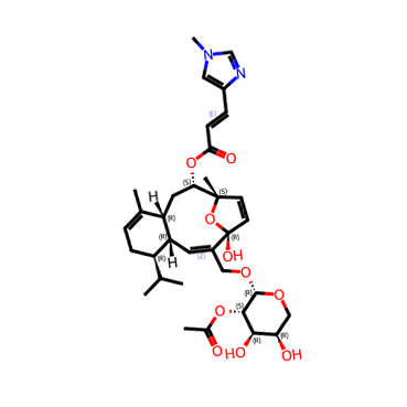 CC(=O)O[C@@H]1[C@H](OC/C2=C/[C@@H]3[C@@H](C(C)C)CC=C(C)[C@@H]3C[C@H](OC(=O)/C=C/c3cn(C)cn3)[C@]3(C)C=C[C@@]2(O)O3)OC[C@@H](O)[C@H]1O